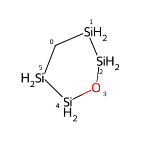 C1[SiH2][SiH2]O[SiH2][SiH2]1